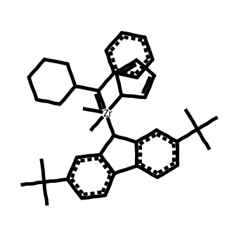 CC(C)(C)c1ccc2c(c1)[CH]([Zr]([CH3])([CH3])(=[C](c1ccccc1)C1CCCCC1)[CH]1C=CC=C1)c1cc(C(C)(C)C)ccc1-2